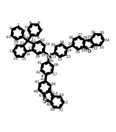 c1ccc(C2(c3ccccc3)c3ccccc3-c3cc(N(c4ccc(-c5ccc6c(c5)sc5ccccc56)cc4)c4ccc(-c5ccc6sc7ccccc7c6c5)cc4)ccc32)cc1